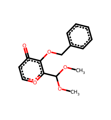 COC(OC)c1occc(=O)c1OCc1ccccc1